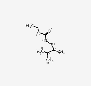 CCOC(=O)NSC(C)C(C)C